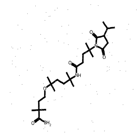 BC(=O)C(C)(C)CCOC(C)(C)CCC(C)(C)NC(=O)CCC(C)(C)N1C(=O)CC(C(C)C)C1=O